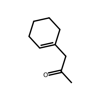 CC(=O)CC1=CCCCC1